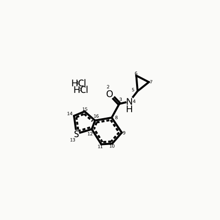 Cl.Cl.O=C(NC1CC1)c1cccc2sccc12